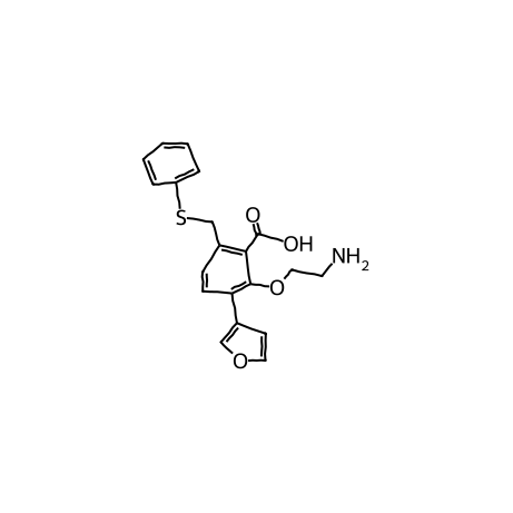 NCCOc1c(-c2ccoc2)ccc(CSc2ccccc2)c1C(=O)O